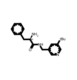 CC(C)(C)c1cncc(CNC(=O)[C@H](N)Cc2ccccc2)c1